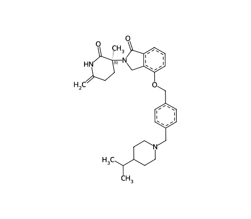 C=C1CC[C@](C)(N2Cc3c(OCc4ccc(CN5CCC(C(C)C)CC5)cc4)cccc3C2=O)C(=O)N1